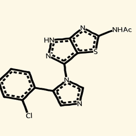 CC(=O)Nc1nc2[nH]nc(-n3cncc3-c3ccccc3Cl)c2s1